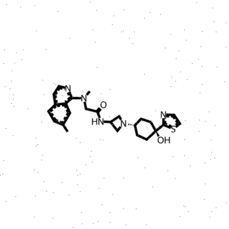 Cc1ccc2ccnc(N(C)CC(=O)NC3CN([C@H]4CC[C@@](O)(c5nccs5)CC4)C3)c2c1